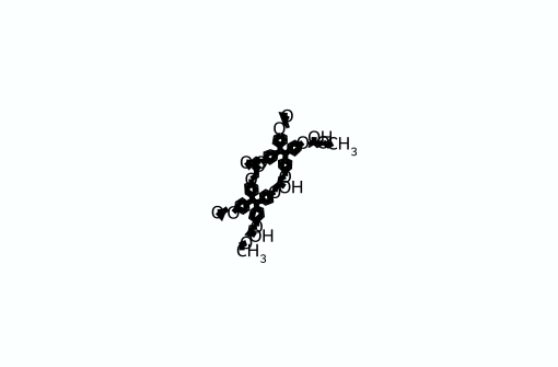 CCOCC(O)COc1ccc(C(c2ccc(OCC(O)COc3ccc(C(c4ccc(OCC(O)COCC)cc4)C(c4ccc(OCC5CO5)cc4)c4ccc(OCC5CO5)cc4)cc3)cc2)C(c2ccc(OCC3CO3)cc2)c2ccc(OCC3CO3)cc2)cc1